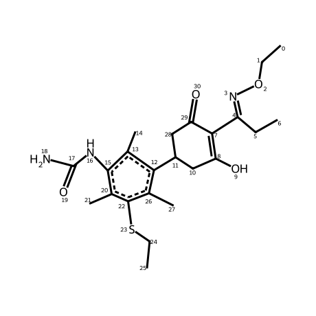 CCON=C(CC)C1=C(O)CC(c2c(C)c(NC(N)=O)c(C)c(SCC)c2C)CC1=O